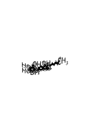 CCCCCCOc1c(O)c2ccc(O[C@@H]3O[C@H](CO)[C@@H](O)[C@H](O)[C@@H]3O)cc2oc1=O